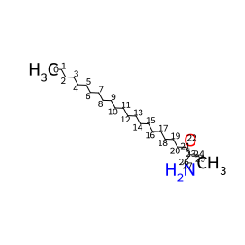 CCCCCCCCCCCCCCCCCCCCCC(=O)C(CC)CN